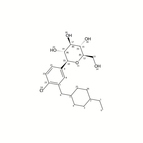 CCC1CCC(Cc2cc([C@@H]3O[C@H](CO)[C@@H](O)[C@H](O)[C@H]3O)ccc2Cl)CC1